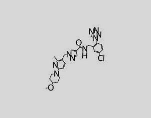 COC1CCN(c2ccc(Cn3cc(C(=O)NCc4cc(Cl)ccc4-n4cnnn4)cn3)c(C)n2)CC1